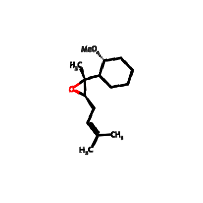 CO[C@@H]1CCCCC1[C@@]1(C)O[C@@H]1CC=C(C)C